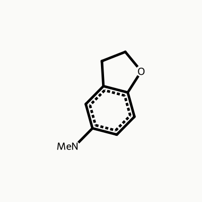 CNc1ccc2c(c1)CCO2